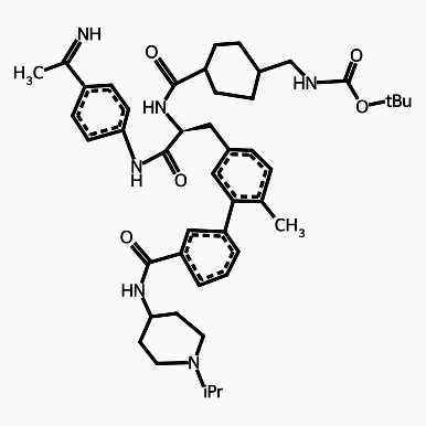 CC(=N)c1ccc(NC(=O)[C@H](Cc2ccc(C)c(-c3cccc(C(=O)NC4CCN(C(C)C)CC4)c3)c2)NC(=O)C2CCC(CNC(=O)OC(C)(C)C)CC2)cc1